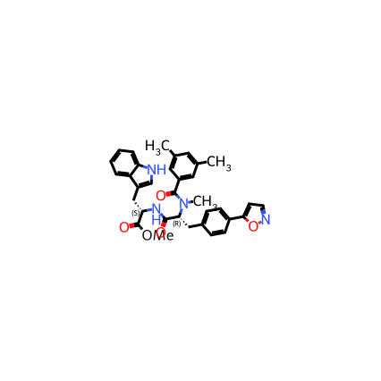 COC(=O)[C@H](Cc1c[nH]c2ccccc12)NC(=O)[C@@H](Cc1ccc(-c2ccno2)cc1)N(C)C(=O)c1cc(C)cc(C)c1